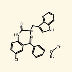 CCOCC.O=C1Nc2ccc(Cl)cc2C(c2ccccc2)=N[C@@H]1Cc1c[nH]c2ccccc12